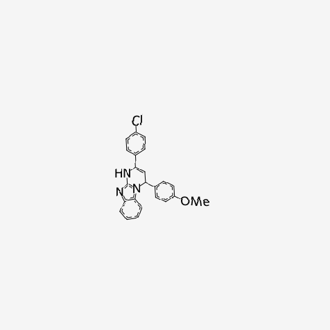 COc1ccc(C2C=C(c3ccc(Cl)cc3)Nc3nc4ccccc4n32)cc1